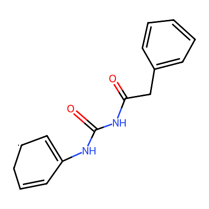 O=C(Cc1ccccc1)NC(=O)NC1=C[CH]CC=C1